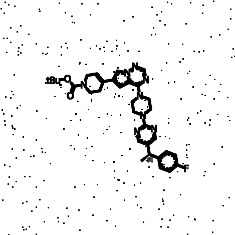 C[C@H](c1ccc(F)cc1)c1cnc(N2CCN(c3ncnn4cc(C5=CCN(C(=O)OC(C)(C)C)CC5)cc34)CC2)nc1